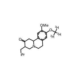 [2H]C([2H])([2H])Oc1cc2c(cc1OC)C1CC(=O)C(CC(C)C)CN1CC2